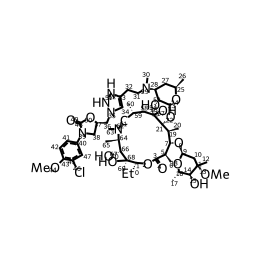 CC[C@H]1OC(=O)[C@H](C)[C@@H](O[C@H]2C[C@@](C)(OC)[C@@H](O)[C@H](C)O2)[C@H](C)[C@@H](O[C@@H]2O[C@H](C)C[C@H](N(C)CCC3=CN(C[C@H]4CN(c5ccc(OC)c(Cl)c5)C(=O)O4)NN3)[C@H]2O)[C@](C)(O)C[C@@H](C)CN(C)[C@H](C)[C@@H](O)[C@]1(C)O